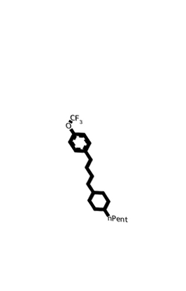 CCCCCC1CCC(CCCCc2ccc(OC(F)(F)F)cc2)CC1